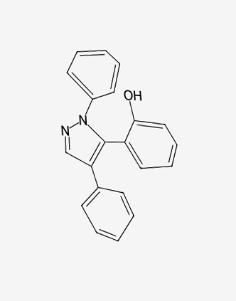 Oc1ccccc1-c1c(-c2ccccc2)cnn1-c1ccccc1